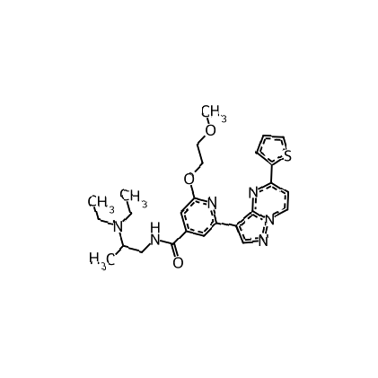 CCN(CC)C(C)CNC(=O)c1cc(OCCOC)nc(-c2cnn3ccc(-c4cccs4)nc23)c1